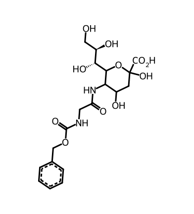 O=C(CNC(=O)OCc1ccccc1)NC1C(O)CC(O)(C(=O)O)OC1[C@H](O)[C@H](O)CO